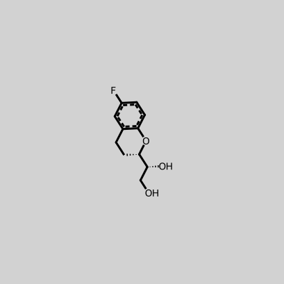 OC[C@@H](O)[C@@H]1CCc2cc(F)ccc2O1